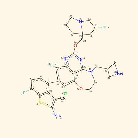 N#Cc1c(N)sc2c(F)ccc(-c3c(Cl)c4c5c(nc(OC[C@@]67CCCN6C[C@H](F)C7)nc5c3F)N(CC3CNC3)CCO4)c12